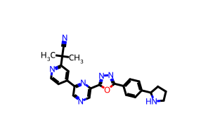 CC(C)(C#N)c1cc(-c2cncc(-c3nnc(-c4ccc(C5CCCN5)cc4)o3)n2)ccn1